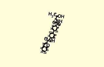 C=C(O)CNS(=O)(=O)c1ccc(C2=CCC(NC(=O)c3cc4ccccc4o3)C=C2)cc1